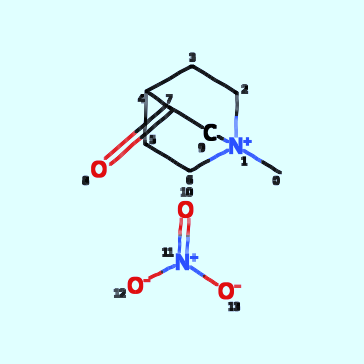 C[N+]12CCC(CC1)C(=O)C2.O=[N+]([O-])[O-]